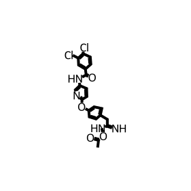 CC(=O)ONC(=N)Cc1ccc(Oc2ccc(NC(=O)c3ccc(Cl)c(Cl)c3)cn2)cc1